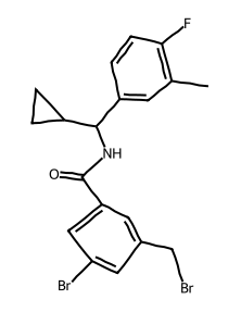 Cc1cc(C(NC(=O)c2cc(Br)cc(CBr)c2)C2CC2)ccc1F